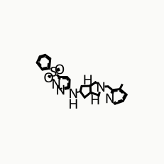 Cc1cccnc1CN1C[C@H]2C[C@@H](Nc3ccc(S(=O)(=O)c4ccccc4)nn3)C[C@H]2C1